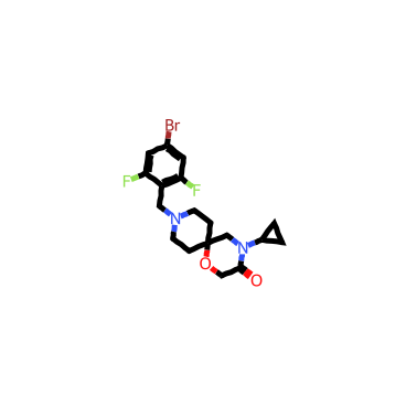 O=C1COC2(CCN(Cc3c(F)cc(Br)cc3F)CC2)CN1C1CC1